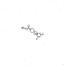 CC(C)(C)OC(=O)N1CCC(O)(Cc2cc(F)cc(F)c2)CC1